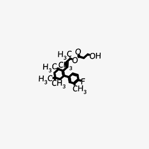 Cc1cc(C2=C(/C=C/[C@H](C)OC(=O)CCO)C(C)(C)CC(C)(C)C2)ccc1F